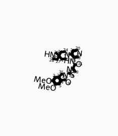 COc1cc2c(cc1OC)C(=O)N(c1nc(C(=O)Nc3cnccc3N3CCC4(CCNC4)CC3)cs1)C2